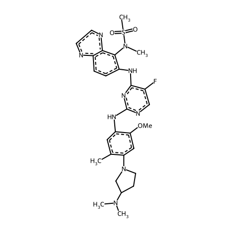 COc1cc(N2CCC(N(C)C)C2)c(C)cc1Nc1ncc(F)c(Nc2ccc3nccnc3c2N(C)S(C)(=O)=O)n1